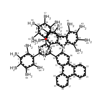 Bc1c(B)c(B)c(-c2nc(-c3cc4c5ccccc5c5ccccc5c4cc3-n3c4c(B)c(B)c(B)c(B)c4c4c(B)c(B)c(B)c(B)c43)nc(-c3c(B)c(B)c(B)c(B)c3B)n2)c(B)c1B